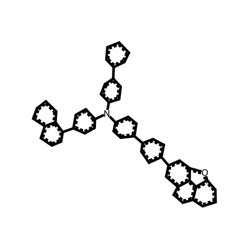 c1ccc(-c2ccc(N(c3ccc(-c4ccc(-c5cc6ccc7cccc8oc(c5)c6c78)cc4)cc3)c3ccc(-c4cccc5ccccc45)cc3)cc2)cc1